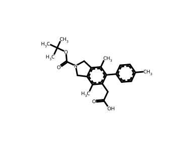 Cc1ccc(-c2c(C)c3c(c(C)c2CC(=O)O)CN(C(=O)OC(C)(C)C)C3)cc1